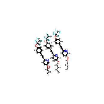 CCCCCOc1ccc(C#Cc2ccc(OC(F)(F)C(F)F)cc2)nc1.CCCCOc1ccc(C#Cc2ccc(OC(F)(F)C(F)F)cc2)nc1.CCCOc1ccc(C#Cc2ccc(OC(F)(F)C(F)F)cc2)nc1